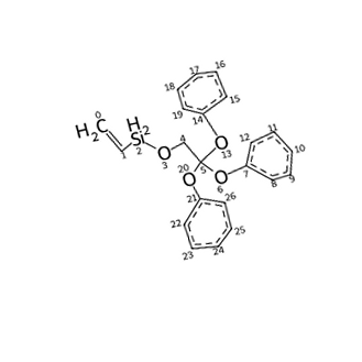 C=C[SiH2]OCC(Oc1ccccc1)(Oc1ccccc1)Oc1ccccc1